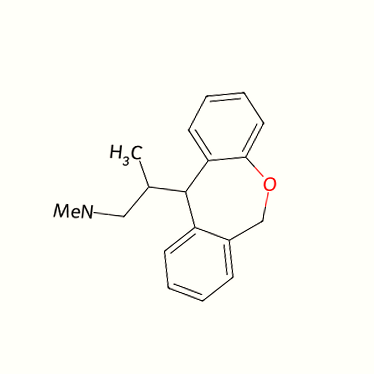 CNCC(C)C1c2ccccc2COc2ccccc21